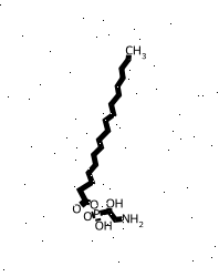 CCCCCCCCCCCCCCCCCC(=O)OP(=O)(O)C(O)CN